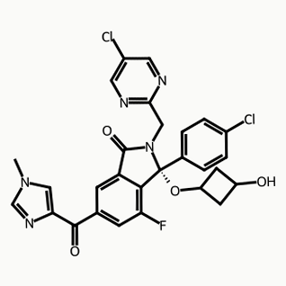 Cn1cnc(C(=O)c2cc(F)c3c(c2)C(=O)N(Cc2ncc(Cl)cn2)[C@@]3(OC2CC(O)C2)c2ccc(Cl)cc2)c1